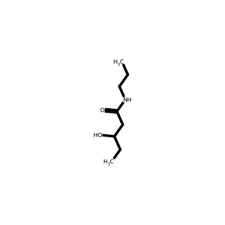 CCCNC(=O)CC(O)CC